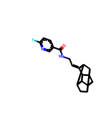 O=C(NCC=C1C2C3CC4C5CC(C1C53)C42)c1ccc(F)nc1